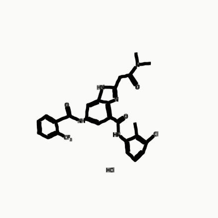 Cc1c(Cl)cccc1NC(=O)c1cc(NC(=O)c2ccccc2C(F)(F)F)cc2[nH]c(CC(=O)N(C)C)nc12.Cl